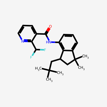 CC(C)(C)CC1CC(C)(C)c2cccc(NC(=O)c3cccnc3C(F)F)c21